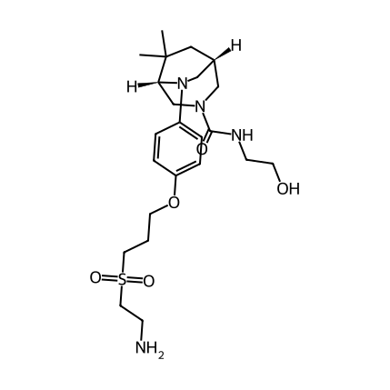 CC1(C)C[C@@H]2CN(C(=O)NCCO)C[C@H]1N(c1ccc(OCCCS(=O)(=O)CCN)cc1)C2